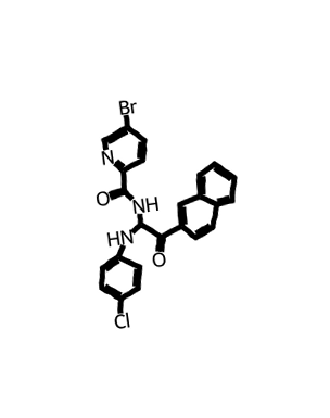 O=C(NC(Nc1ccc(Cl)cc1)C(=O)c1ccc2ccccc2c1)c1ccc(Br)cn1